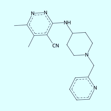 Cc1nnc(NC2CCN(Cc3ccccn3)CC2)c(C#N)c1C